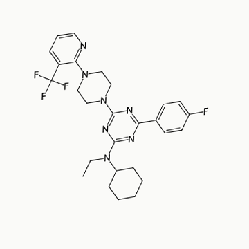 CCN(c1nc(-c2ccc(F)cc2)nc(N2CCN(c3ncccc3C(F)(F)F)CC2)n1)C1CCCCC1